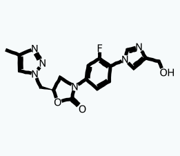 Cc1cn(C[C@H]2CN(c3ccc(-n4cnc(CO)c4)c(F)c3)C(=O)O2)nn1